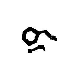 C=Cc1ccccc1.CC(C)N